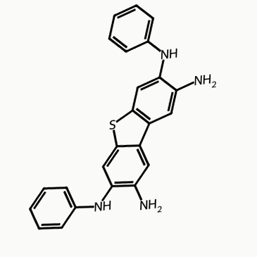 Nc1cc2c(cc1Nc1ccccc1)sc1cc(Nc3ccccc3)c(N)cc12